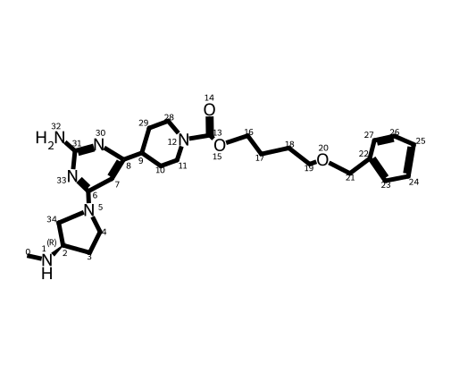 CN[C@@H]1CCN(c2cc(C3CCN(C(=O)OCCCCOCc4ccccc4)CC3)nc(N)n2)C1